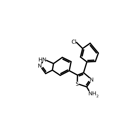 Nc1nc(-c2cccc(Cl)c2)c(C2=CC3C=NNC3C=C2)s1